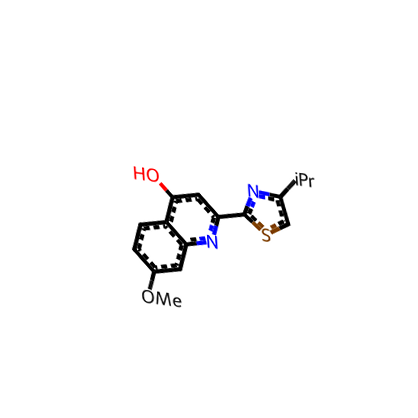 COc1ccc2c(O)cc(-c3nc(C(C)C)cs3)nc2c1